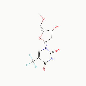 COC[C@H]1O[C@@H](n2cc(C(F)(F)F)c(=O)[nH]c2=O)CC1O